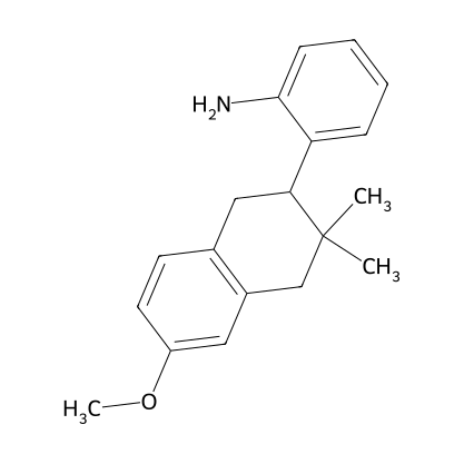 COc1ccc2c(c1)CC(C)(C)C(c1ccccc1N)C2